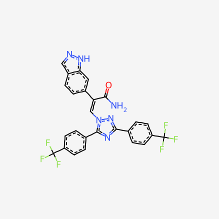 NC(=O)C(=Cn1nc(-c2ccc(C(F)(F)F)cc2)nc1-c1ccc(C(F)(F)F)cc1)c1ccc2cn[nH]c2c1